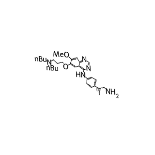 CCCCN(CCCC)CCCOc1cc2c(Nc3ccc([C@H](C)CN)cc3)ncnc2cc1OC